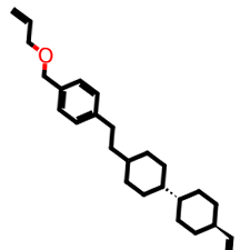 C=CCOCc1ccc(CCC2CCC([C@H]3CC[C@H](C=C)CC3)CC2)cc1